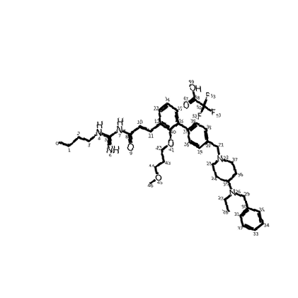 CCCCNC(=N)NC(=O)CCc1cccc(-c2ccc(CN3CCC(N(CC)Cc4ccccc4)CC3)cc2)c1OCCCOC.O=C(O)C(F)(F)F